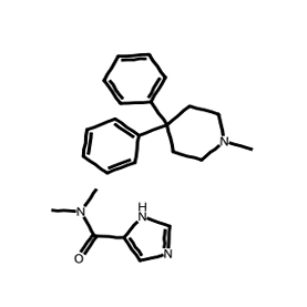 CN(C)C(=O)c1cnc[nH]1.CN1CCC(c2ccccc2)(c2ccccc2)CC1